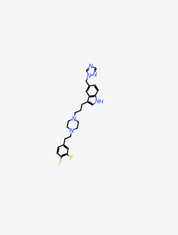 Fc1ccc(CCN2CCN(CCCc3c[nH]c4ccc(Cn5cncn5)cc34)CC2)cc1F